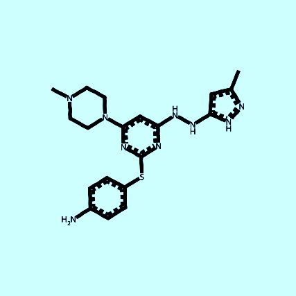 Cc1cc(NNc2cc(N3CCN(C)CC3)nc(Sc3ccc(N)cc3)n2)[nH]n1